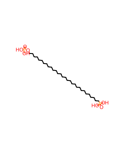 O=P(O)(O)CCCCCCCCCCCCCCCCCCCCCCCCCCCCCCOP(=O)(O)O